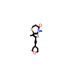 Cc1c(C#CC2CCOCC2)sc2c1SCCC(=O)N2C